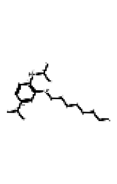 CCCCCCCCOc1cc(C(C)C)ccc1NC(C)C